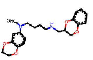 O=CN(CCCCNCC1COc2ccccc2O1)c1ccc2c(c1)OCCO2